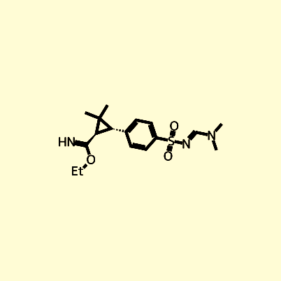 CCOC(=N)[C@@H]1[C@@H](c2ccc(S(=O)(=O)N=CN(C)C)cc2)C1(C)C